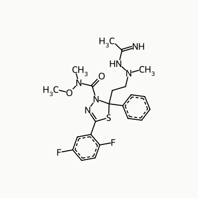 CON(C)C(=O)N1N=C(c2cc(F)ccc2F)SC1(CCN(C)NC(C)=N)c1ccccc1